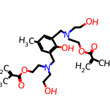 C=C(C)C(=O)OCCN(CCO)Cc1cc(C)cc(CN(CCO)CCOC(=O)C(=C)C)c1O